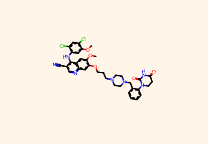 COc1cc(Nc2c(C#N)cnc3cc(OCCCN4CCN(Cc5ccccc5N5CCC(=O)NC5=O)CC4)c(OC)cc23)c(Cl)cc1Cl